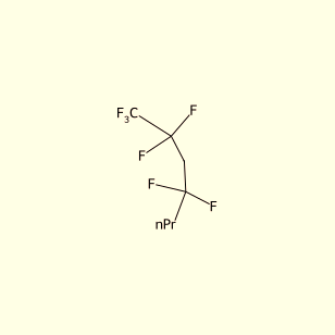 [CH2]CCC(F)(F)CC(F)(F)C(F)(F)F